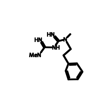 CNC(=N)NC(=N)N(C)CCc1ccccc1